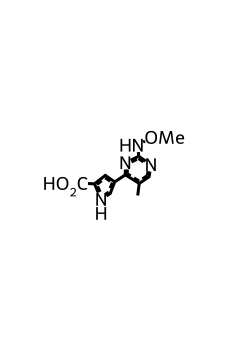 CONc1ncc(C)c(-c2c[nH]c(C(=O)O)c2)n1